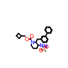 CS(=O)(=O)NC1CCCN(C(=O)OCC2CCC2)C1Cc1cccc(-c2ccccc2)c1